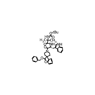 CC(C)(C)OC(=O)NC(C)(C)C(=O)N[C@H](Cc1c[nH]c2ccccc12)C(=O)N1CCC(C(=O)OCc2ccccc2)(c2ccccc2)CC1